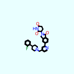 O=C1CCC(N2Cc3cc(-c4cc(CN5CCC(c6ccccc6F)CC5)ccn4)ccc3C2=O)C(=O)N1